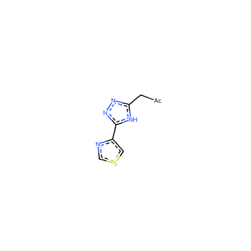 CC(=O)Cc1nnc(-c2cscn2)[nH]1